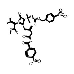 C=C(CC(=O)OC(=O)c1ccc([N+](=O)[O-])cc1)C[C@@H]1[C@@H](C(C)(C)OC(=O)OCc2ccc([N+](=O)[O-])cc2)C(=O)N1C(C(=O)OC)=C(C)C